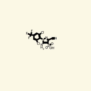 N#Cc1nn(-c2c(Cl)cc(C(F)(F)F)cc2Cl)c(N)c1S(=O)(=O)O